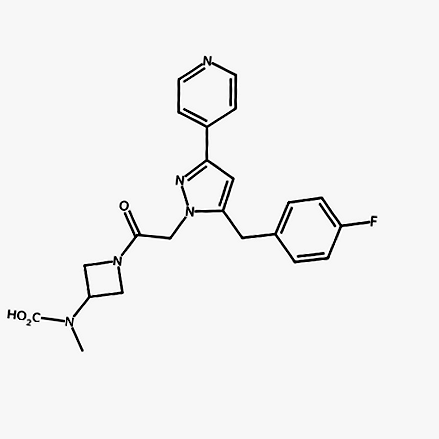 CN(C(=O)O)C1CN(C(=O)Cn2nc(-c3ccncc3)cc2Cc2ccc(F)cc2)C1